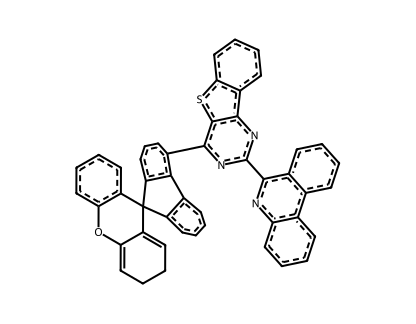 C1=C2Oc3ccccc3C3(C2=CCC1)c1ccccc1-c1c(-c2nc(-c4nc5ccccc5c5ccccc45)nc4c2sc2ccccc24)cccc13